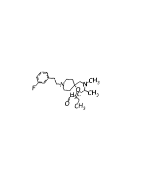 CCC(C=O)OC1(CN(C)C(C)C)CCN(CCc2cccc(F)c2)CC1